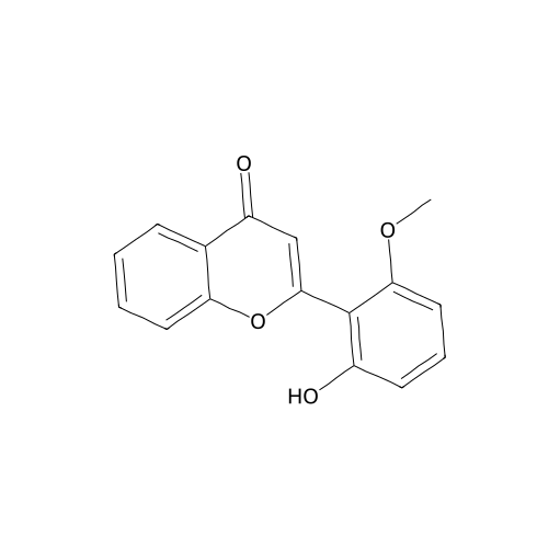 COc1cccc(O)c1-c1cc(=O)c2ccccc2o1